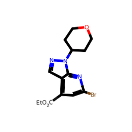 CCOC(=O)c1cc(Br)nc2c1cnn2C1CCOCC1